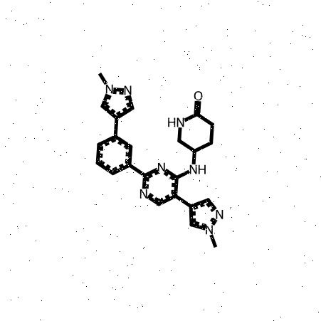 Cn1cc(-c2cccc(-c3ncc(-c4cnn(C)c4)c(NC4CCC(=O)NC4)n3)c2)cn1